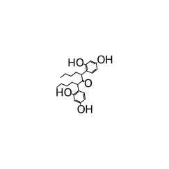 CCCCC(C(=O)C(CCCC)c1ccc(O)cc1O)c1ccc(O)cc1O